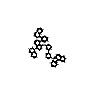 c1cc(-c2cccc(-n3c4ccccc4c4c5ccccc5ccc43)c2)cc(N(c2cccc(-c3cccc4ccccc34)c2)c2ccc(-c3cccc4ccccc34)c3ccccc23)c1